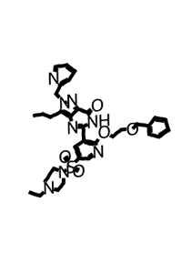 CCCc1c2nc(-c3cc(S(=O)(=O)N4CCN(CC)CC4)cnc3OCCOCc3ccccc3)[nH]c(=O)c2nn1Cc1ccccn1